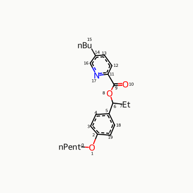 CCCCCOc1ccc(C(CC)OC(=O)c2ccc(CCCC)cn2)cc1